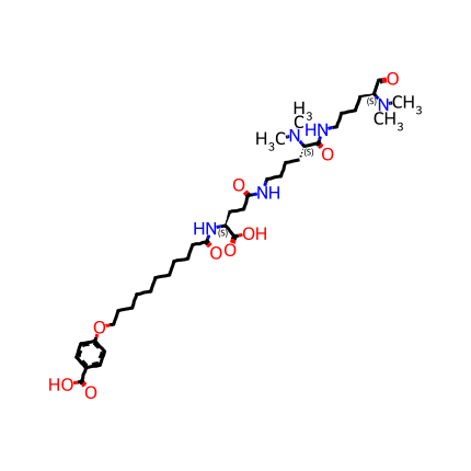 CN(C)[C@H](C=O)CCCCNC(=O)[C@H](CCCCNC(=O)CC[C@H](NC(=O)CCCCCCCCCCOc1ccc(C(=O)O)cc1)C(=O)O)N(C)C